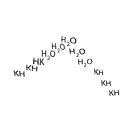 O.O.O.O.O.[KH].[KH].[KH].[KH].[KH].[KH]